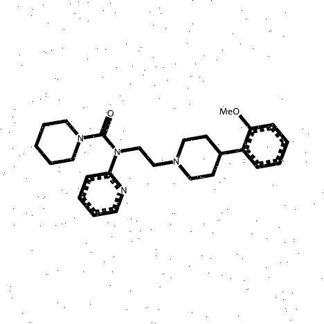 COc1ccccc1C1CCN(CCN(C(=O)N2CCCCC2)c2ccccn2)CC1